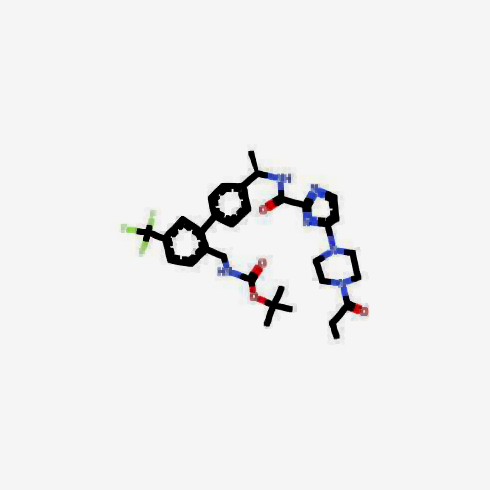 CCC(=O)N1CCN(c2ccnc(C(=O)N[C@H](C)c3ccc(-c4cc(C(F)(F)F)ccc4CNC(=O)OC(C)(C)C)cc3)n2)CC1